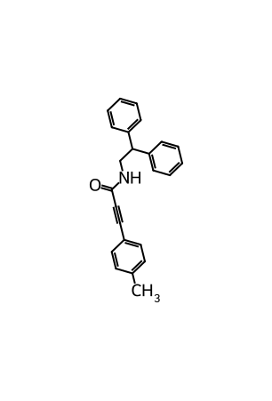 Cc1ccc(C#CC(=O)NCC(c2ccccc2)c2ccccc2)cc1